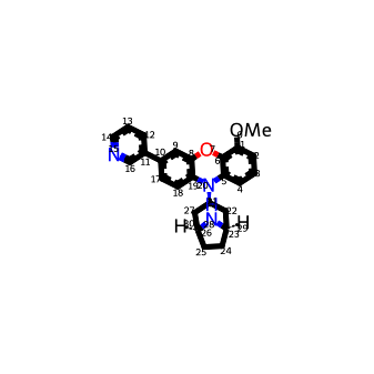 COc1cccc2c1Oc1cc(-c3cccnc3)ccc1N2[C@H]1C[C@H]2CC[C@@H](C1)N2